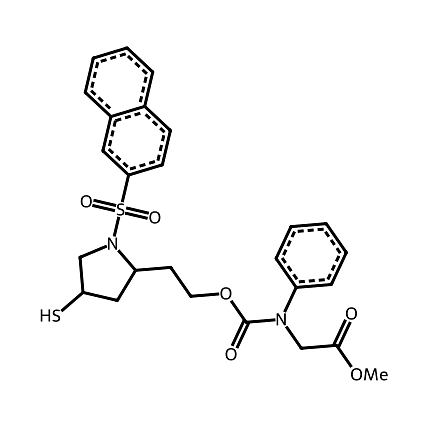 COC(=O)CN(C(=O)OCCC1CC(S)CN1S(=O)(=O)c1ccc2ccccc2c1)c1ccccc1